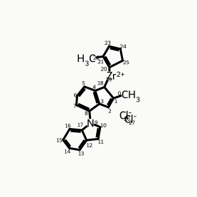 CC1=Cc2c(cccc2-n2ccc3ccccc32)[CH]1[Zr+2][C]1=C(C)C=CC1.[Cl-].[Cl-]